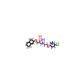 OC(CNCCOc1ccc(Cl)nn1)COc1ccc2ccccc2c1